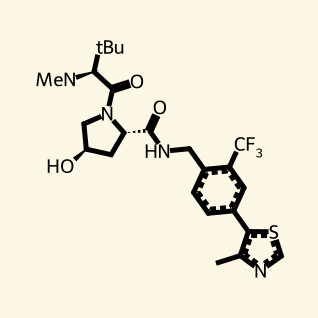 CN[C@H](C(=O)N1C[C@H](O)C[C@H]1C(=O)NCc1ccc(-c2scnc2C)cc1C(F)(F)F)C(C)(C)C